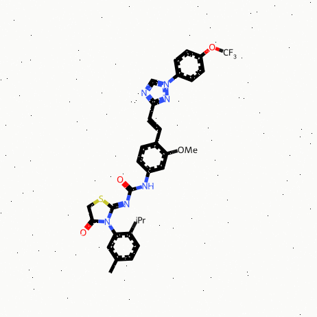 COc1cc(NC(=O)/N=C2\SCC(=O)N2c2cc(C)ccc2C(C)C)ccc1/C=C/c1ncn(-c2ccc(OC(F)(F)F)cc2)n1